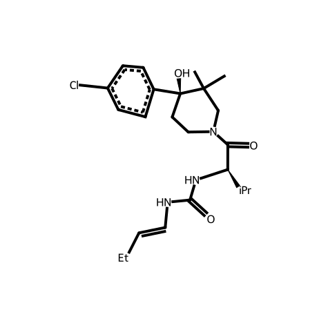 CC/C=C/NC(=O)N[C@@H](C(=O)N1CC[C@](O)(c2ccc(Cl)cc2)C(C)(C)C1)C(C)C